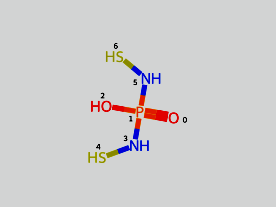 O=P(O)(NS)NS